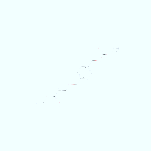 CCOC(=O)CCOCc1ccc(COC(=O)OC)cc1